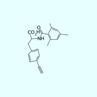 C#Cc1ccc(CC(NC(=O)c2c(C)cc(C)cc2C)C(=O)O)cc1